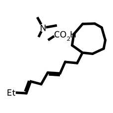 CC(=O)O.CCC=CCC=CCCC1CCCCCCCC1.CN(C)C